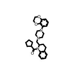 O=C(C1CCCC1)N1c2ccccc2CCC1CN1CCN(c2cccc3c2OCCO3)CC1